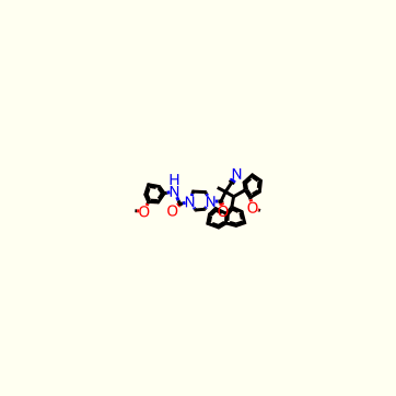 COc1cccc(NC(=O)N2CCN(C(=O)C(C)(C#N)C(c3ccccc3OC)c3cccc4ccccc34)CC2)c1